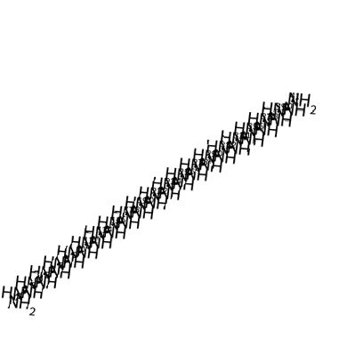 NNNNNNNNNNNNNNNNNNNNNNNNNNNNNNNNNNNNNNNNNN